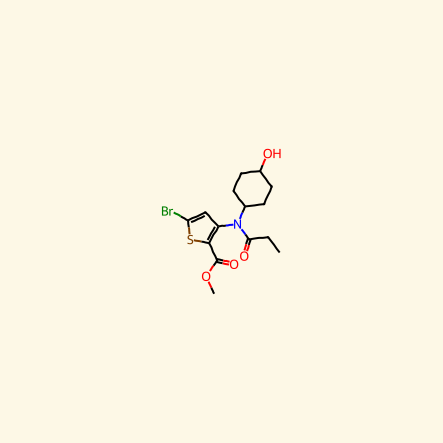 CCC(=O)N(c1cc(Br)sc1C(=O)OC)C1CCC(O)CC1